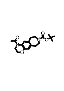 CC(=O)N1CCOc2cc3c(cc21)CCN(C(=O)OC(C)(C)C)CC3